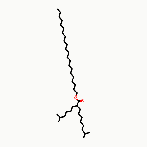 CCCCCCCCCCCCCCCCCCCCCCOC(=O)C(CCCCCCC(C)C)CCCCC(C)C